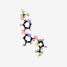 Cc1cc(Oc2ccnc(OC(F)F)c2)nc(Oc2ccc(C(F)(F)F)s2)c1